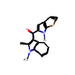 CCCn1c(C)c(C(=O)c2cc3ccsc3n2CC)c2c1CCCC2